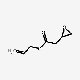 C=CCOC(=O)CC1CO1